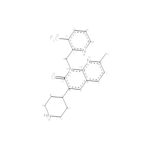 Cc1ccc2cc(C3CCNCC3)c(=O)n(Cc3ncccc3C(F)(F)F)c2n1